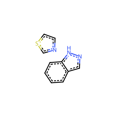 c1ccc2[nH]ncc2c1.c1cscn1